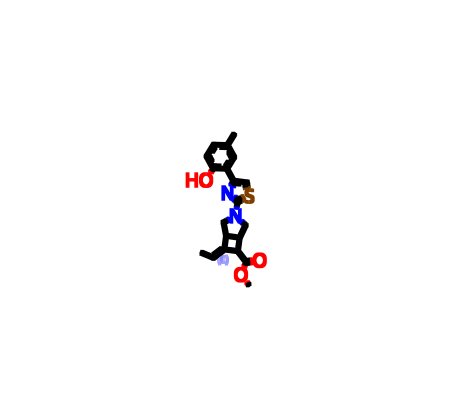 C/C=C1\C2CN(c3nc(-c4cc(C)ccc4O)cs3)CC2C1C(=O)OC